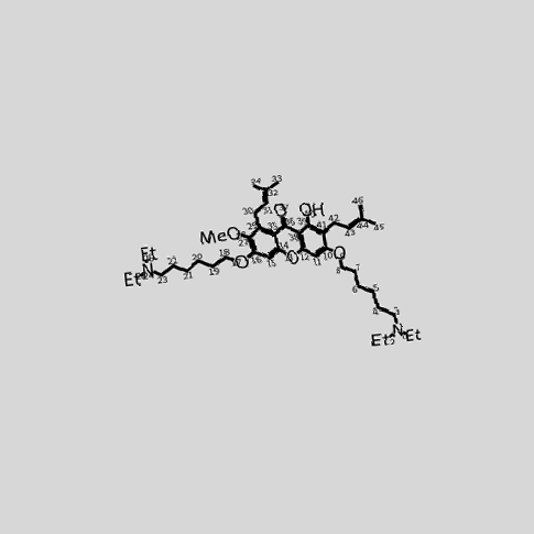 CCN(CC)CCCCCCOc1cc2oc3cc(OCCCCCCN(CC)CC)c(OC)c(CC=C(C)C)c3c(=O)c2c(O)c1CC=C(C)C